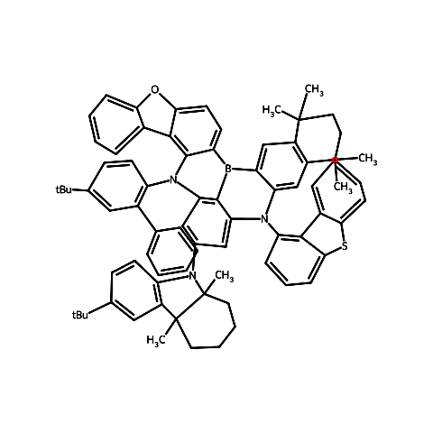 CC(C)(C)c1ccc(N2c3cc(N4c5ccc(C(C)(C)C)cc5C5(C)CCCCC45C)cc4c3B(c3cc5c(cc3N4c3cccc4sc6ccccc6c34)C(C)(C)CCC5(C)C)c3ccc4oc5ccccc5c4c32)c(-c2ccccc2)c1